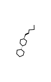 CCC/C=C/[C@H]1CC[C@H](C2CCCCC2)CC1